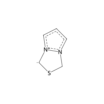 [CH]1SCn2ccc[n+]21